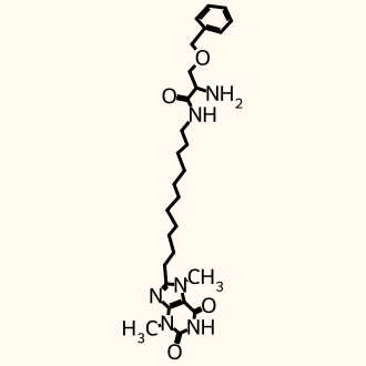 Cn1c(CCCCCCCCCCCNC(=O)C(N)COCc2ccccc2)nc2c1c(=O)[nH]c(=O)n2C